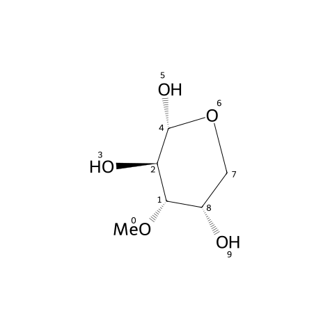 CO[C@@H]1[C@@H](O)[C@H](O)OC[C@@H]1O